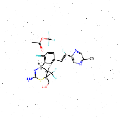 CC(=O)OC(F)(F)F.C[C@]1(c2cc(/C=C(\F)c3cnc(C#N)cn3)ccc2F)N=C(N)S[C@]2(CO)[C@H]1C2(F)F